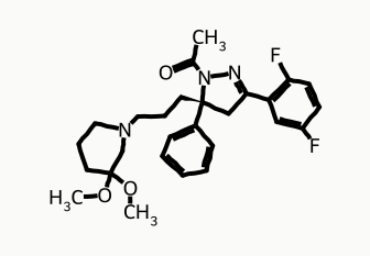 COC1(OC)CCCN(CCC[C@]2(c3ccccc3)CC(c3cc(F)ccc3F)=NN2C(C)=O)C1